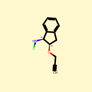 C#CCO[C@@H]1Cc2ccccc2[C@@H]1NCl